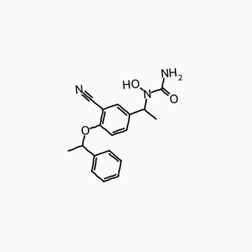 CC(Oc1ccc(C(C)N(O)C(N)=O)cc1C#N)c1ccccc1